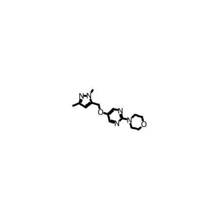 Cc1cc(COc2cnc(N3CCOCC3)nc2)n(C)n1